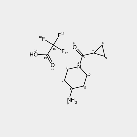 NC1CCN(C(=O)C2CC2)CC1.O=C(O)C(F)(F)F